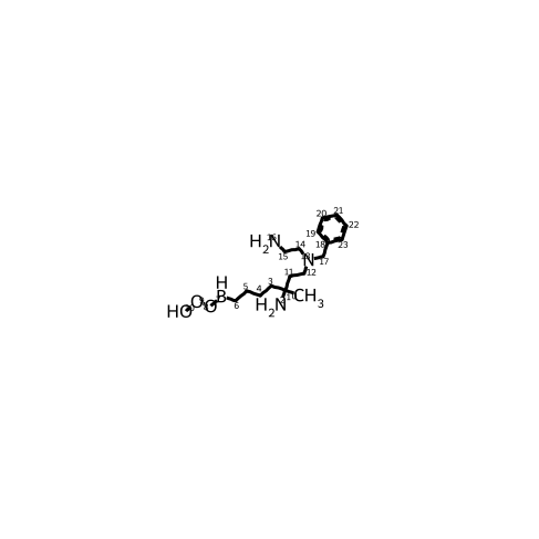 CC(N)(CCCCBOOO)CCN(CCN)Cc1ccccc1